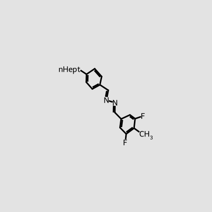 CCCCCCCc1ccc(C=NN=Cc2cc(F)c(C)c(F)c2)cc1